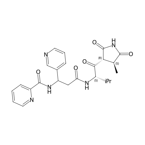 CC(C)[C@H](NC(=O)CC(NC(=O)c1ccccn1)c1cccnc1)C(=O)[C@@H]1C(=O)NC(=O)[C@H]1C